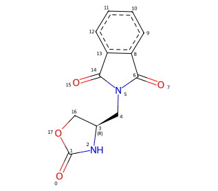 O=C1N[C@H](CN2C(=O)c3ccccc3C2=O)CO1